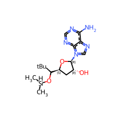 C[SiH](C)OC([C@@H]1C[C@@H](O)[C@H](n2cnc3c(N)ncnc32)O1)C(C)(C)C